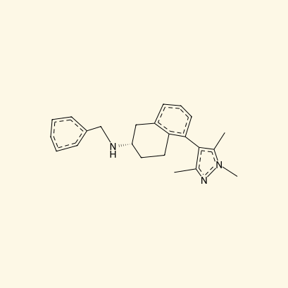 Cc1nn(C)c(C)c1-c1cccc2c1CC[C@H](NCc1ccccc1)C2